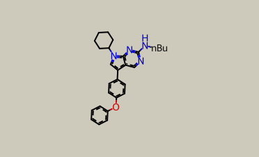 CCCCNc1ncc2c(-c3ccc(Oc4ccccc4)cc3)cn(C3CCCCC3)c2n1